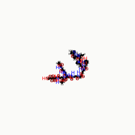 CC[C@H](C)[C@@H]([C@H](O)CC(=O)N1CCC[C@H]1[C@H](O)[C@@H](C)C(=O)N[C@@H](Cc1ccccc1)C(=O)NCCCOC(=O)C(C)NC(=O)CCNC(=O)OCC(NC(=O)CNCC(=O)CNC(=O)OC(C)(C)C)C(=O)NC(CCC(=O)NC[C@H](O)[C@@H](O)[C@H](O)[C@H](O)CO)C(=O)OC(C)(C)C)N(C)C(=O)[C@@H](NC(=O)[C@H](C(C)C)N(C)C)C(C)C